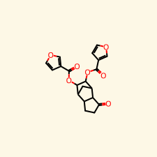 O=C(OC1C2CC(C1OC(=O)c1ccoc1)C1C(=O)CCC21)c1ccoc1